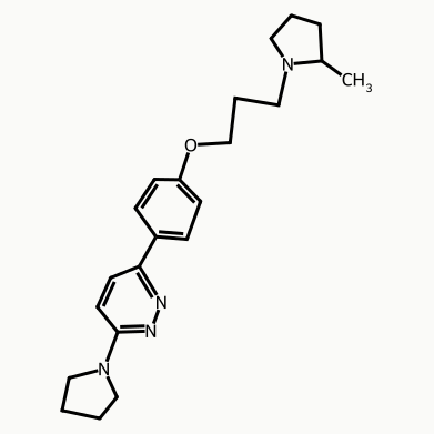 CC1CCCN1CCCOc1ccc(-c2ccc(N3CCCC3)nn2)cc1